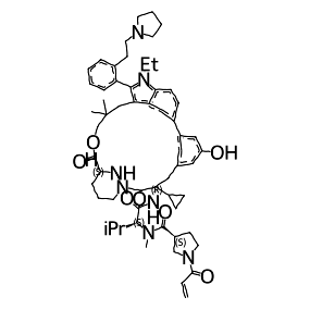 C=CC(=O)N1CC[C@H](C(=O)N(C)[C@H](C(=O)N[C@@]2(C3CC3)Cc3cc(O)cc(c3)-c3ccc4c(c3)c(c(-c3ccccc3CCN3CCCC3)n4CC)CC(C)(C)COC(=O)[C@@H]3CCCN(N3)C2=O)C(C)C)C1